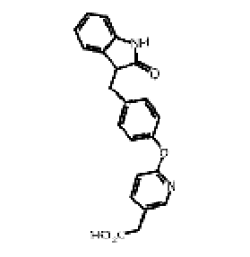 O=C(O)Cc1ccc(Oc2ccc(CC3C(=O)Nc4ccccc43)cc2)nc1